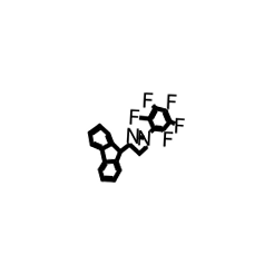 Fc1c(F)c(F)c(N2CCC(C3c4ccccc4-c4ccccc43)=N2)c(F)c1F